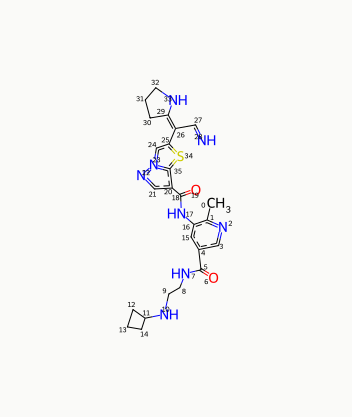 Cc1ncc(C(=O)NCCNC2CCC2)cc1NC(=O)c1cnn2cc(/C(C=N)=C3\CCCN3)sc12